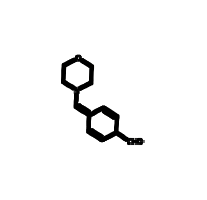 O=[C]C1C=CC(=CN2CCOCC2)C=C1